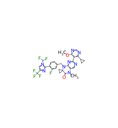 COc1ncnc(C2CC2)c1-c1ncc2c(n1)N(Cc1ccc(-c3nc(C(F)(F)F)cn3C(F)F)c(F)c1)C1(CC1)C(=O)N2C